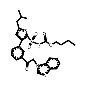 CCCCOC(=O)NS(=O)(=O)c1sc(CC(C)C)cc1-c1cccc(C(=O)Cn2cnc3ccccc32)c1